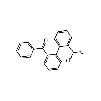 O=C(c1ccccc1)c1ccccc1-c1ccccc1C(Cl)Cl